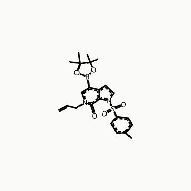 C=CCn1cc(B2OC(C)(C)C(C)(C)O2)c2ccn(S(=O)(=O)c3ccc(C)cc3)c2c1=O